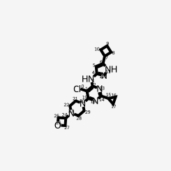 Clc1c(Nc2cc(C3CCC3)[nH]n2)nc(C2CC2)nc1N1CCN(C2COC2)CC1